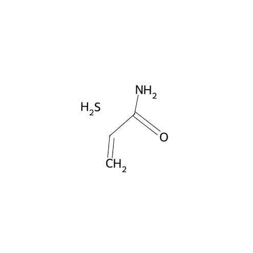 C=CC(N)=O.S